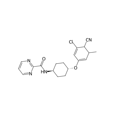 CC1C=C(O[C@H]2CC[C@H](NC(=O)c3ncccn3)CC2)C=C(Cl)C1C#N